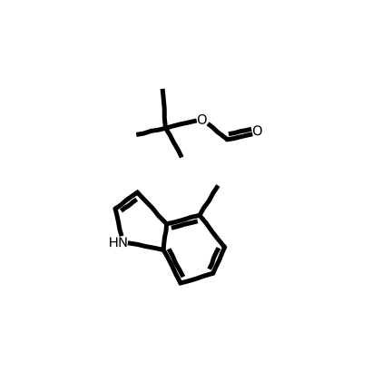 CC(C)(C)OC=O.Cc1cccc2[nH]ccc12